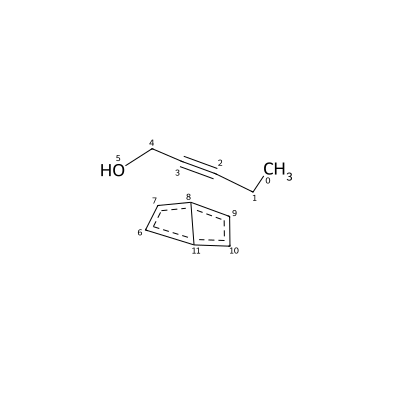 CCC#CCO.c1cc2ccc1-2